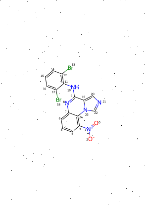 O=[N+]([O-])c1cccc2nc(Nc3c(Br)cccc3Br)c3cncn3c12